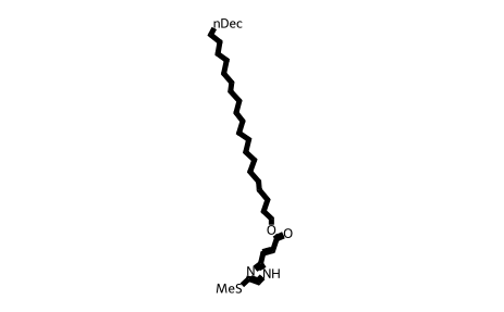 CCCCCCCCCCCCCCCCCCCCCCCCCCCCCCOC(=O)C=Cc1nc(SC)c[nH]1